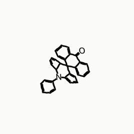 O=C1c2ccccc2C2(c3ccccc31)c1ccccc1N(c1ccccc1)C1C=CC=CC12